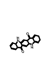 O=C1C2=CC3NC4=CCCC=C4C(=O)C3C=C2NC2C=CC=CC12